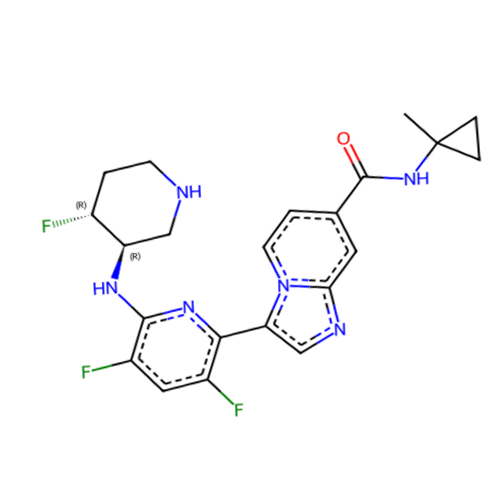 CC1(NC(=O)c2ccn3c(-c4nc(N[C@@H]5CNCC[C@H]5F)c(F)cc4F)cnc3c2)CC1